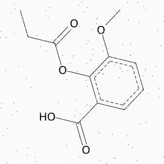 CCC(=O)Oc1c(OC)cccc1C(=O)O